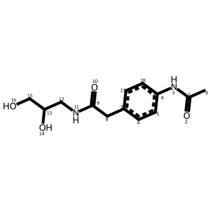 CC(=O)Nc1ccc(CC(=O)NCC(O)CO)cc1